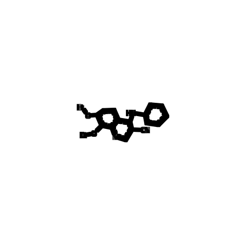 CCOc1ccc2c(Nc3ccccc3)c(C#N)cnc2c1OCC